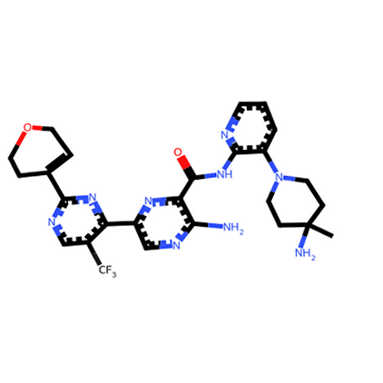 CC1(N)CCN(c2cccnc2NC(=O)c2nc(-c3nc(C4=CCOCC4)ncc3C(F)(F)F)cnc2N)CC1